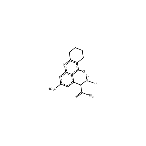 CCCCN(CC)C(C(N)=O)c1cc(C(=O)O)cc2nc3c(c(Cl)c12)CCCC3